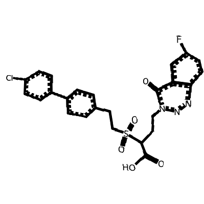 O=C(O)C(CCn1nnc2ccc(F)cc2c1=O)S(=O)(=O)CCc1ccc(-c2ccc(Cl)cc2)cc1